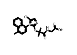 Cc1ccc(-n2c(Cl)cnc2SC(C)(C)C(=O)NCC(=O)O)c2ccccc12